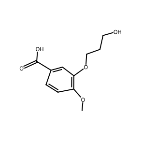 COc1ccc(C(=O)O)cc1OCCCO